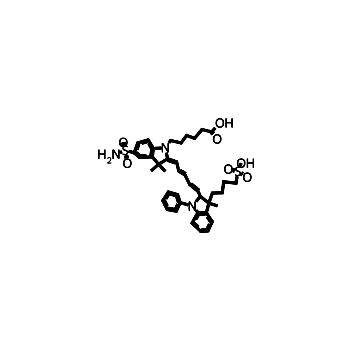 CC1(C)\C(=C/C=C/C=C/C2N(c3ccccc3)c3ccccc3C2(C)CCCCS(=O)(=O)O)N(CCCCCC(=O)O)c2ccc(S(N)(=O)=O)cc21